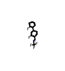 Fc1cc(-c2ccccc2F)ccc1/C=C/C(F)(F)F